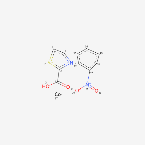 O=C(O)c1nccs1.O=[N+]([O-])c1ccccc1.[Co]